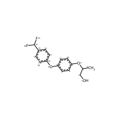 CC(CO)Oc1ccc(Oc2ccc(C(F)F)cn2)cc1